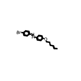 CCCCCCOc1ccc(N=Nc2ccc(Br)cc2)cc1